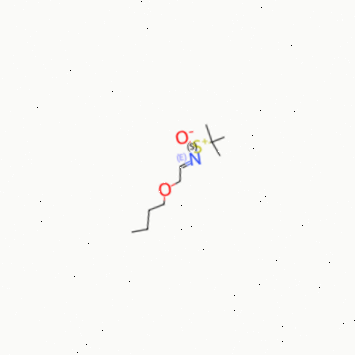 CCCCOC/C=N/[S@+]([O-])C(C)(C)C